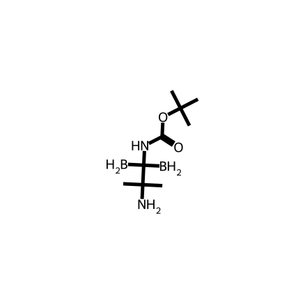 BC(B)(NC(=O)OC(C)(C)C)C(C)(C)N